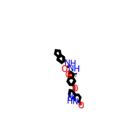 C[C@H]1c2cc(Oc3ccnc4c3CCC(=O)N4)ccc2O[C@H]1NC(=O)Nc1ccc2c(c1)CCC2